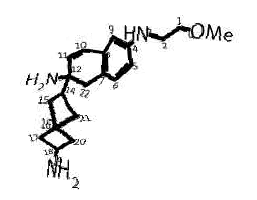 COCCNc1ccc2c(c1)C=CC(N)(C1CC3(CC(N)C3)C1)C2